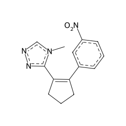 Cn1cnnc1C1=C(c2cccc([N+](=O)[O-])c2)CCC1